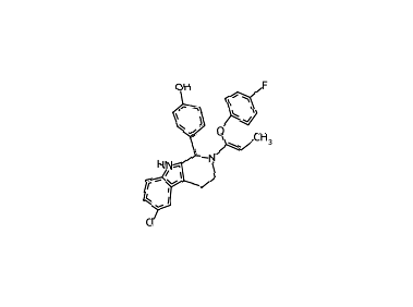 C/C=C(\Oc1ccc(F)cc1)N1CCc2c([nH]c3ccc(Cl)cc23)C1c1ccc(O)cc1